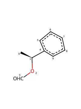 C[C@H](OC=O)c1ccccc1